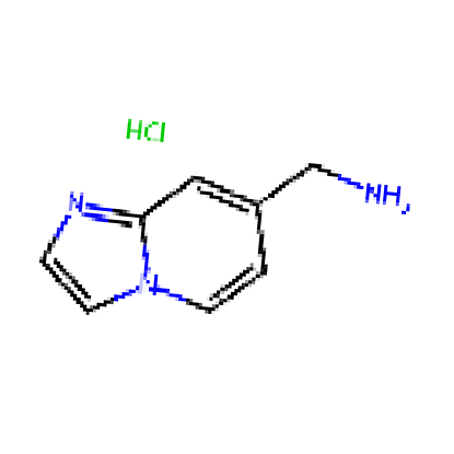 Cl.NCc1ccn2ccnc2c1